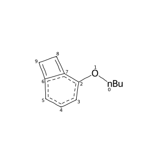 CCCCOc1cccc2c1=CC=2